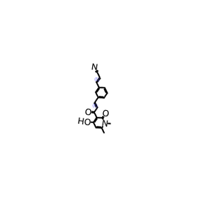 Cc1cc(O)c(C(=O)/C=C/c2cccc(/C=C/C#N)c2)c(=O)n1C